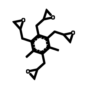 Cc1c(CC2CO2)c(C)c(CC2CO2)c(CC2CO2)c1CC1CO1